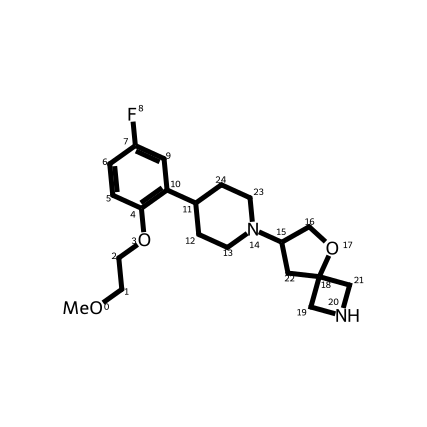 COCCOc1ccc(F)cc1C1CCN(C2COC3(CNC3)C2)CC1